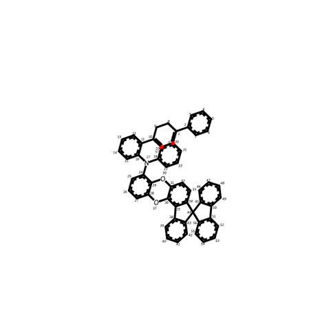 C1=C(c2ccccc2)CCC(c2ccccc2N(c2ccccc2)c2cccc3c2Oc2ccc4c(c2O3)-c2ccccc2C42c3ccccc3-c3ccccc32)=C1